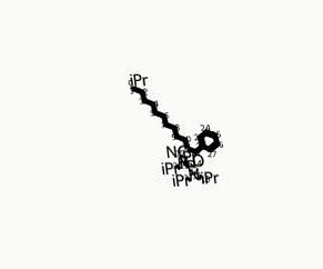 CC(C)CCCCCCCCCCC(C#N)C(OP(N(C(C)C)C(C)C)N(C(C)C)C(C)C)c1ccccc1